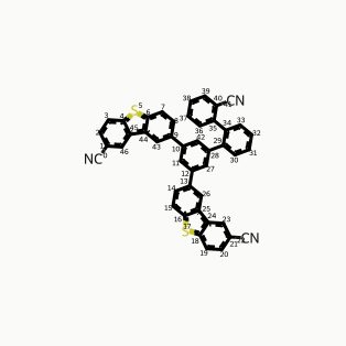 N#Cc1ccc2sc3ccc(-c4cc(-c5ccc6sc7ccc(C#N)cc7c6c5)cc(-c5ccccc5-c5ccccc5C#N)c4)cc3c2c1